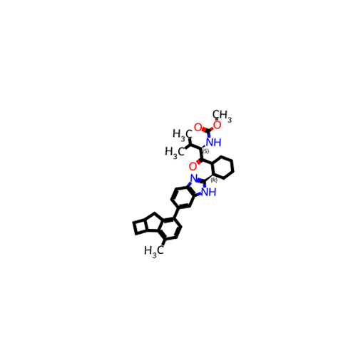 COC(=O)N[C@H](C(=O)C1CCCC[C@H]1c1nc2ccc(-c3ccc(C)c4c3CC3CCC43)cc2[nH]1)C(C)C